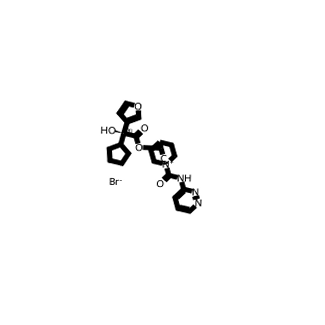 O=C(OC1C[N+]2(C(=O)Nc3cccnn3)CCC1CC2)[C@](O)(c1ccoc1)C1CCCC1.[Br-]